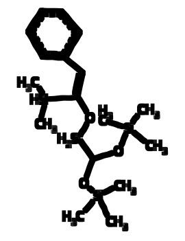 C[SiH](C)C(=Cc1ccccc1)O[SiH2]C(O[Si](C)(C)C)O[Si](C)(C)C